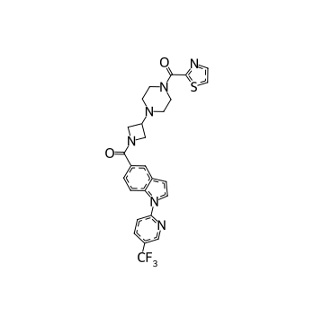 O=C(c1ccc2c(ccn2-c2ccc(C(F)(F)F)cn2)c1)N1CC(N2CCN(C(=O)c3nccs3)CC2)C1